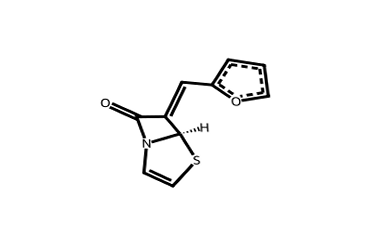 O=C1/C(=C/c2ccco2)[C@H]2SC=CN12